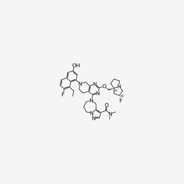 CCc1c(F)ccc2cc(O)cc(N3CCc4c(nc(OC[C@@]56CCCN5C[C@H](F)C6)nc4N4CCCn5ncc(C(=O)N(C)C)c5C4)C3)c12